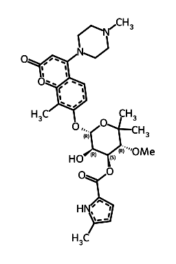 CO[C@@H]1[C@@H](OC(=O)c2ccc(C)[nH]2)[C@@H](O)[C@H](Oc2ccc3c(N4CCN(C)CC4)cc(=O)oc3c2C)OC1(C)C